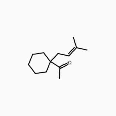 CC(=O)C1(CC=C(C)C)CCCCC1